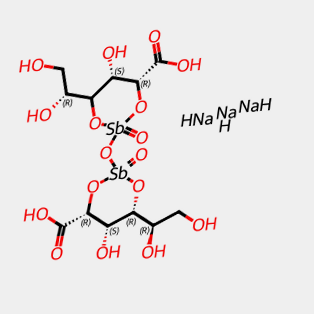 O=C(O)[C@@H]1[O][Sb](=[O])([O][Sb]2(=[O])[O]C([C@H](O)CO)[C@H](O)[C@H](C(=O)O)[O]2)[O][C@H]([C@H](O)CO)[C@@H]1O.[NaH].[NaH].[NaH]